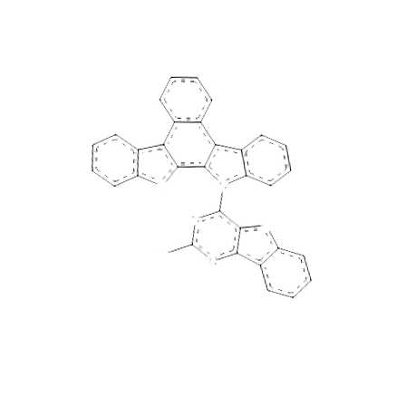 Clc1nc(-n2c3ccccc3c3c4ccccc4c4c5ccccc5sc4c32)c2oc3ccccc3c2n1